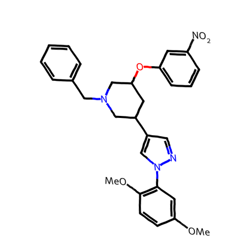 COc1ccc(OC)c(-n2cc(C3CC(Oc4cccc([N+](=O)[O-])c4)CN(Cc4ccccc4)C3)cn2)c1